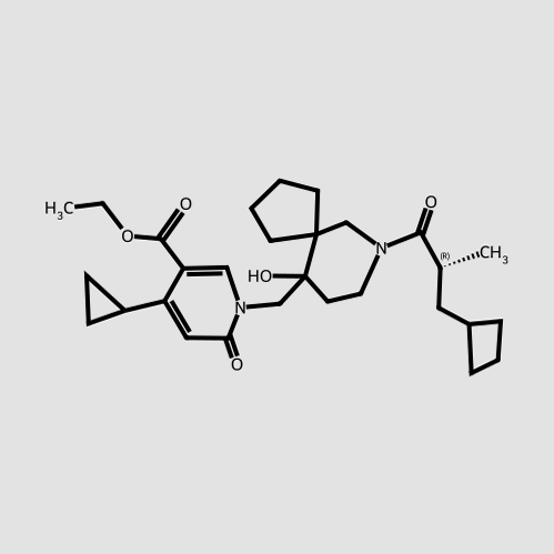 CCOC(=O)c1cn(CC2(O)CCN(C(=O)[C@H](C)CC3CCC3)CC23CCCC3)c(=O)cc1C1CC1